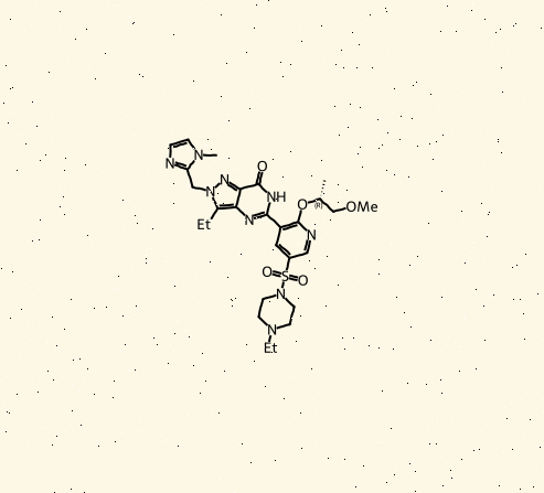 CCc1c2nc(-c3cc(S(=O)(=O)N4CCN(CC)CC4)cnc3O[C@H](C)COC)[nH]c(=O)c2nn1Cc1nccn1C